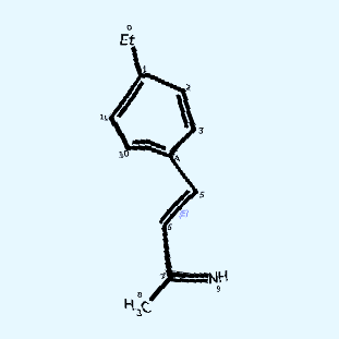 CCc1ccc(/C=C/C(C)=N)cc1